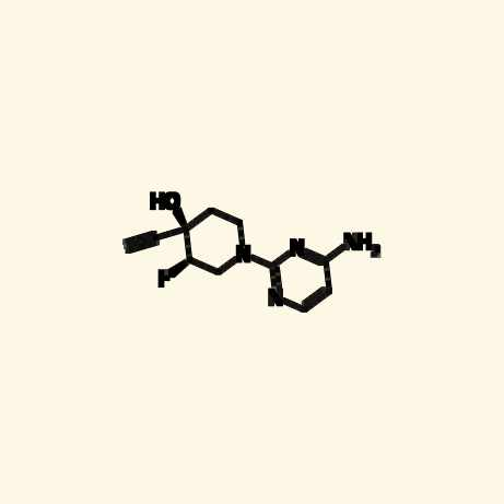 C#C[C@]1(O)CCN(c2nccc(N)n2)C[C@H]1F